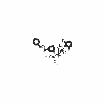 CC(C)N(C(=O)n1nnn(-c2c(F)cccc2F)c1=O)c1cccc(C(=O)OCc2ccccc2)c1